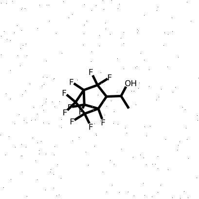 CC(O)C1C(F)(F)C2(F)C(F)(F)C(F)(F)C1(F)C2(F)F